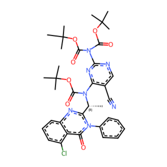 C[C@H](c1nc2cccc(Cl)c2c(=O)n1-c1ccccc1)N(C(=O)OC(C)(C)C)c1nc(N(C(=O)OC(C)(C)C)C(=O)OC(C)(C)C)ncc1C#N